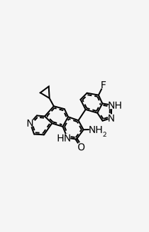 Nc1c(-c2ccc(F)c3[nH]ncc23)c2cc(C3CC3)c3cnccc3c2[nH]c1=O